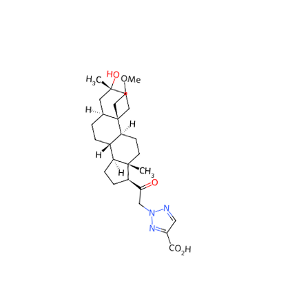 COCC[C@]12CC[C@@](C)(O)C[C@@H]1CC[C@H]1[C@@H]3CC[C@H](C(=O)Cn4ncc(C(=O)O)n4)[C@@]3(C)CC[C@@H]12